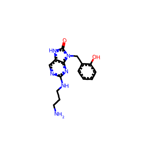 NCCCNc1ncc2[nH]c(=O)n(Cc3ccccc3O)c2n1